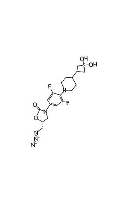 [N-]=[N+]=NC[C@H]1CN(c2cc(F)c(N3CCC(C4CS(O)(O)C4)CC3)c(F)c2)C(=O)O1